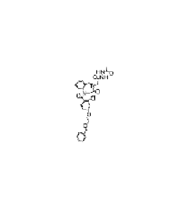 CC(=O)NNC(=O)CN1Cc2ccccc2N(C(=O)c2ccc(OCCOCc3ccccc3)cc2Cl)CC1=O